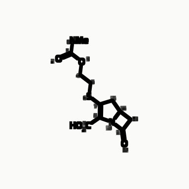 CNC(=O)OCCSC1=C(C(=O)O)N2C(=O)CC2C1